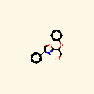 OCC(Oc1ccccc1)C1=N[C@@H](c2ccccc2)CO1